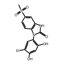 CCc1cc(-n2c(=O)[nH]c3cc(S(C)(=O)=O)ccc32)c(O)cc1O